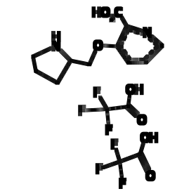 O=C(O)C(F)(F)F.O=C(O)C(F)(F)F.O=C(O)c1ncccc1OCC1CCCN1